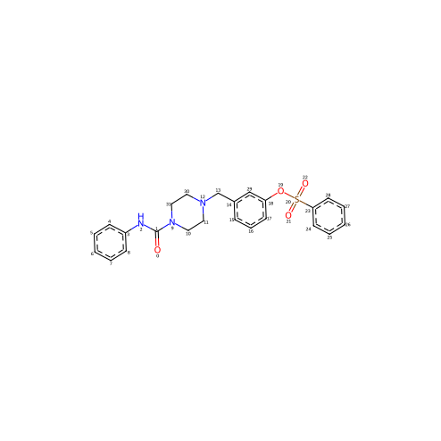 O=C(Nc1ccccc1)N1CCN(Cc2cccc(OS(=O)(=O)c3ccccc3)c2)CC1